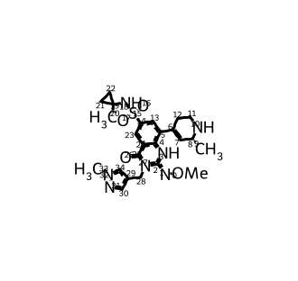 CO/N=c1\[nH]c2c(C3=C[C@@H](C)NCC3)cc(S(=O)(=O)NC3(C)CC3)cc2c(=O)n1Cc1cnn(C)c1